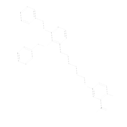 O=C(O)c1cc(OCCCCCCc2cccc(OCc3ccccc3)c2OCc2ccccc2)ccc1O